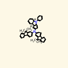 CC1(C)c2ccccc2-c2ccc(N(c3ccc4c(c3)[C@H]3C=CC=C[C@H]3N4c3ccccc3)c3ccc4c(c3)C(C)(C)c3ccccc3-4)cc21